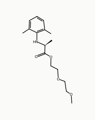 COCCOCCOC(=O)[C@H](C)Nc1c(C)cccc1C